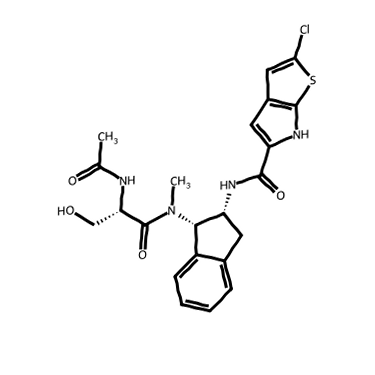 CC(=O)N[C@@H](CO)C(=O)N(C)[C@H]1c2ccccc2C[C@H]1NC(=O)c1cc2cc(Cl)sc2[nH]1